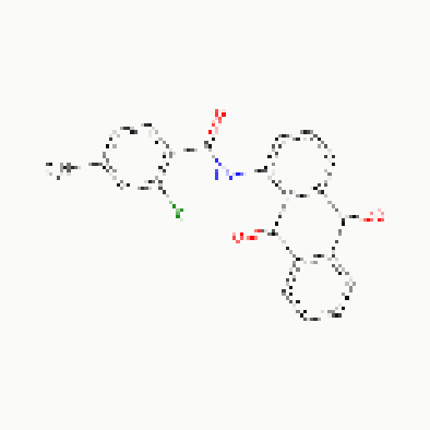 O=C(Nc1cccc2c1C(=O)c1ccccc1C2=O)c1ccc([N+](=O)[O-])cc1Cl